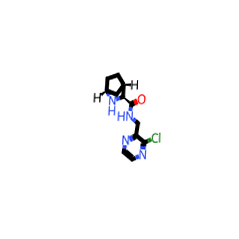 O=C(NCc1nccnc1Cl)[C@H]1N[C@@H]2CC[C@H]1C2